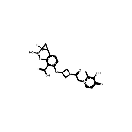 Cc1c(O)c(=O)ccn1CC(=O)N1CC(Oc2ccc3c(c2C(=O)O)OB(O)[C@@H]2CC32)C1